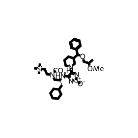 COC(C)COC(c1ccccc1)C1CCCN(c2n[s+]([O-])nc2N[C@H](CC2CCCCC2)CN(CC[Si](C)(C)C)C(=O)O)C1